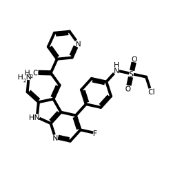 C=C(/C=c1\c(=C/N)[nH]c2ncc(F)c(-c3ccc(NS(=O)(=O)CCl)cc3)c12)c1cccnc1